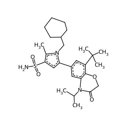 Cc1c(S(N)(=O)=O)cc(-c2cc3c(c(C(C)(C)C)c2)OCC(=O)N3C(C)C)n1CC1CCCCC1